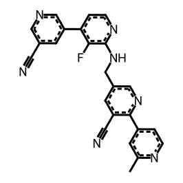 Cc1cc(-c2ncc(CNc3nccc(-c4cncc(C#N)c4)c3F)cc2C#N)ccn1